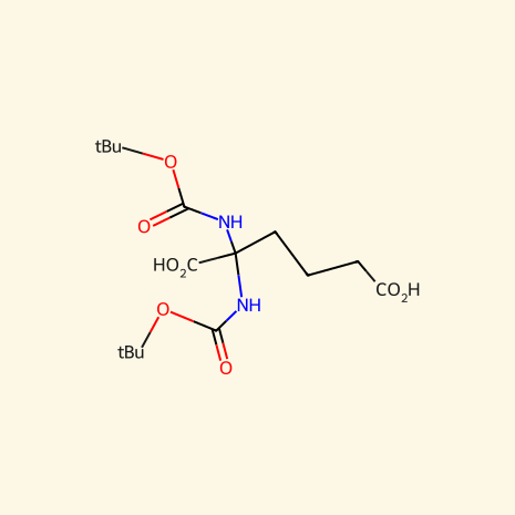 CC(C)(C)OC(=O)NC(CCCC(=O)O)(NC(=O)OC(C)(C)C)C(=O)O